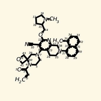 C=CC(=O)N1CCN(c2c(C#N)c(OCC3CCCN3C)nc3c2CCN(c2cccc4cccc(C)c24)C3)CC12COC2